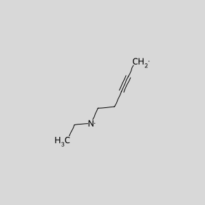 [CH2]C#CCC[N]CC